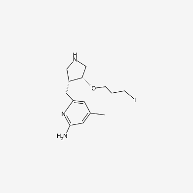 Cc1cc(N)nc(C[C@@H]2CNC[C@@H]2OCCCI)c1